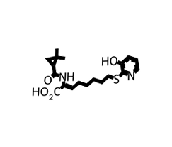 CC1(C)CC1C(=O)NC(=CCCCCCSc1ncccc1O)C(=O)O